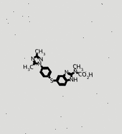 Cc1nc(C)n(-c2ccc(Sc3ccc4[nH]c(N(C)C(=O)O)nc4c3)cc2)n1